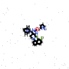 CN1CCC[C@H]1COc1nc2c(c([C@@H]3C[C@H]4CC[C@@H](C3)N4)n1)CCN(c1cccc3ccc(F)c(F)c13)C2